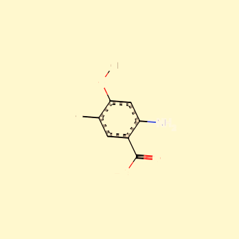 COc1cc(N)c(C(=O)O)cc1C